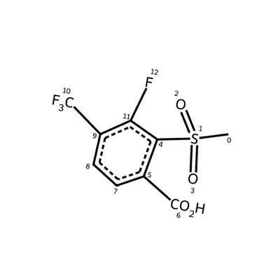 CS(=O)(=O)c1c(C(=O)O)ccc(C(F)(F)F)c1F